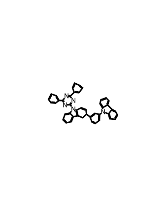 C1=CC(c2cccc(-n3c4ccccc4c4ccccc43)c2)Cc2c1n(-c1nc(-c3ccccc3)nc(-c3ccccc3)n1)c1ccccc21